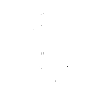 Cc1nc2c(N)nc3ccccc3c2n1CCC(=O)OC(C)(C)C